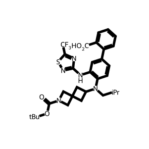 CC(C)CN(c1ccc(-c2ccccc2C(=O)O)cc1Nc1nsc(C(F)(F)F)n1)C1CC2(C1)CN(C(=O)OC(C)(C)C)C2